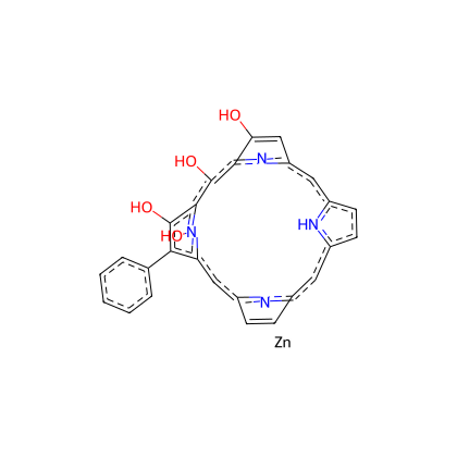 OC1=Cc2cc3ccc(cc4nc(cc5c(-c6ccccc6)c(O)c(c(O)c1n2)n5O)C=C4)[nH]3.[Zn]